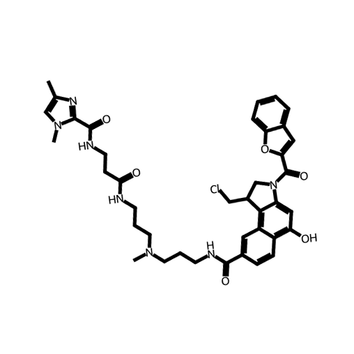 Cc1cn(C)c(C(=O)NCCC(=O)NCCCN(C)CCCNC(=O)c2ccc3c(O)cc4c(c3c2)C(CCl)CN4C(=O)c2cc3ccccc3o2)n1